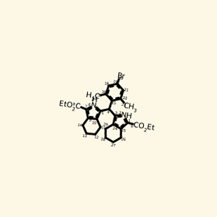 CCOC(=O)c1[nH]c(C(c2[nH]c(C(=O)OCC)c3c2CCCC3)c2c(C)cc(Br)cc2C)c2c1CCCC2